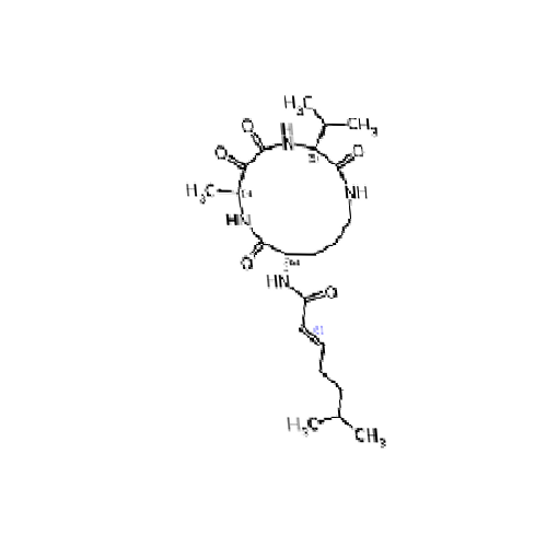 CC(C)CC/C=C/C(=O)N[C@H]1CCCNC(=O)[C@H](C(C)C)NC(=O)C(=O)[C@H](C)NC1=O